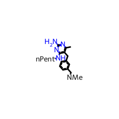 CCCCCNc1nc(N)nc(C)c1Cc1cccc(CNC)c1